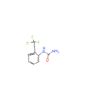 NC(=O)Nc1ccccc1C(F)(F)F